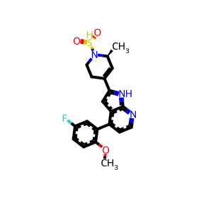 COc1ccc(F)cc1-c1ccnc2[nH]c(C3=C[C@H](C)N([SH](=O)=O)CC3)cc12